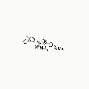 CNCc1ccc(-c2cc(-c3nc(-c4ccc(=O)n(C5CCCC5)c4)cnc3N)on2)cc1